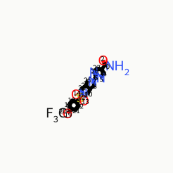 NC(=O)c1cnc(N2CC3CN(S(=O)(=O)c4ccc(OC(F)(F)F)cc4)CC3C2)nc1